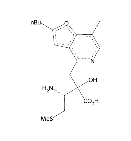 CCCCc1cc2c(CC(O)(C(=O)O)[C@@H](N)CSC)ncc(C)c2o1